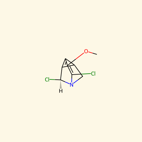 COC1=C(Cl)N2CC3C1=C3[C@@H]2Cl